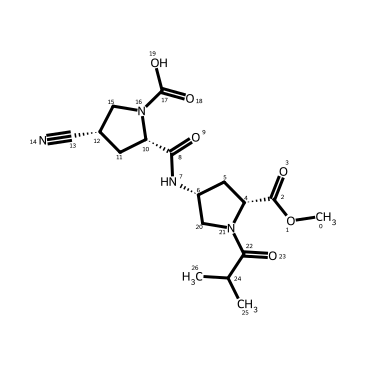 COC(=O)[C@H]1C[C@@H](NC(=O)[C@@H]2C[C@H](C#N)CN2C(=O)O)CN1C(=O)C(C)C